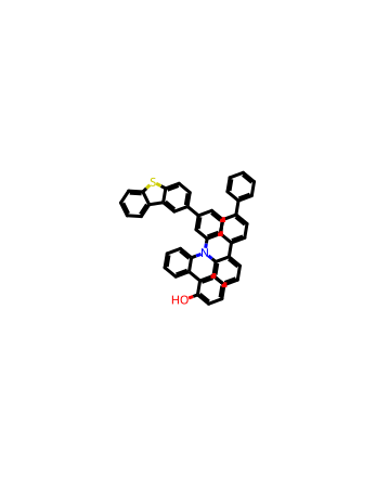 Oc1ccccc1-c1ccccc1N(c1cccc(-c2ccc3sc4ccccc4c3c2)c1)c1ccccc1C1=CC=C(c2ccccc2)CC1